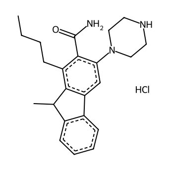 CCCCc1c(C(N)=O)c(N2CCNCC2)cc2c1C(C)c1ccccc1-2.Cl